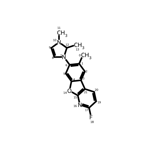 Cc1cc2c(cc1N1C=CN(C)C1C)oc1nc(F)ccc12